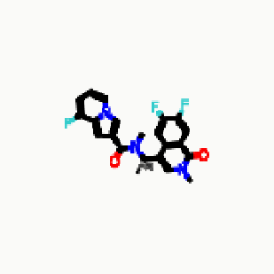 C[C@@H](c1cn(C)c(=O)c2cc(F)c(F)cc12)N(C)C(=O)c1cc2c(F)cccn2c1